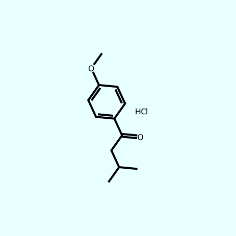 COc1ccc(C(=O)CC(C)C)cc1.Cl